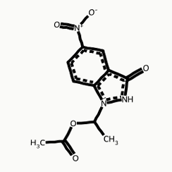 CC(=O)OC(C)n1[nH]c(=O)c2cc([N+](=O)[O-])ccc21